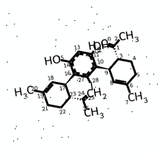 C=C(C)[C@@H]1CCC(C)=C[C@H]1c1c(O)cc(O)c([C@@H]2C=C(C)CC[C@H]2C(=C)C)c1I